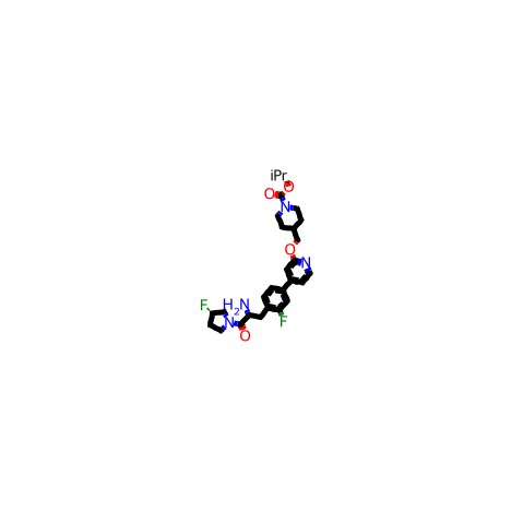 CC(C)OC(=O)N1CCC(COc2cc(-c3ccc(CC(N)C(=O)N4CC[C@H](F)C4)c(F)c3)ccn2)CC1